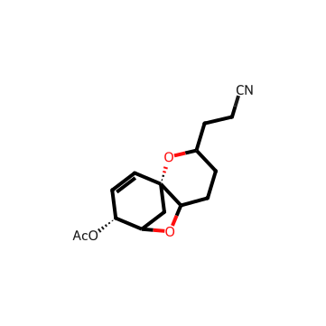 CC(=O)O[C@@H]1C=C[C@]23CC1OC2CCC(CCC#N)O3